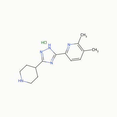 Cc1ccc(-c2nc(C3CCNCC3)n[nH]2)nc1C.Cl